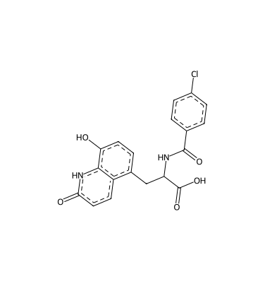 O=C(NC(Cc1ccc(O)c2[nH]c(=O)ccc12)C(=O)O)c1ccc(Cl)cc1